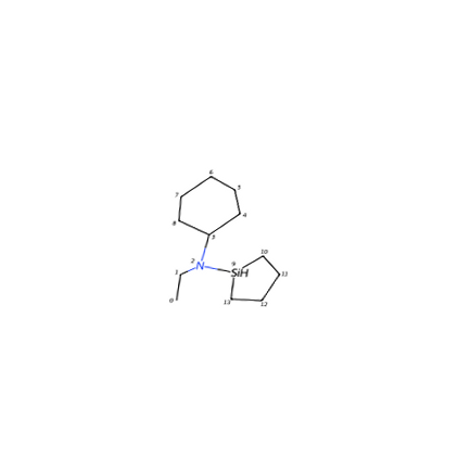 CCN(C1CCCCC1)[SiH]1CCCC1